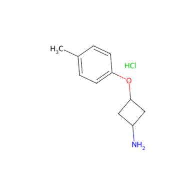 Cc1ccc(OC2CC(N)C2)cc1.Cl